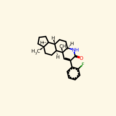 C[C@@]12CCC[C@H]1[C@@H]1CC[C@H]3NC(=O)C(c4ccccc4F)=C[C@]3(C)[C@H]1CC2